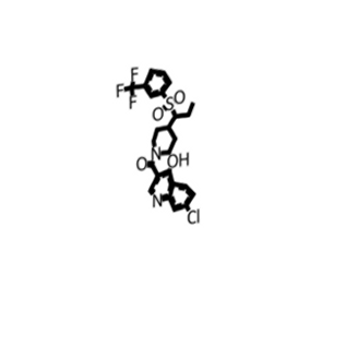 CCC(C1CCN(C(=O)c2cnc3cc(Cl)ccc3c2O)CC1)S(=O)(=O)c1cccc(C(F)(F)F)c1